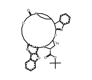 CC(C)(C)OC(=O)[C@@H]1C[C@H]2CN1c1nc(nc3c1oc1ccccc13)CCCOCC(=O)N1CCC(CC1)C1C(=Nc3ccccc31)O2